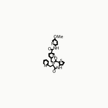 COc1ccc(NC(=O)c2ccc(CN3C(=O)c4sccc4NC(=O)C3Cc3ccccn3)nc2)nc1